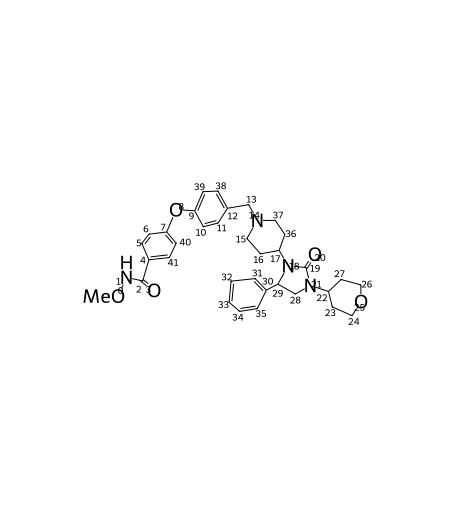 CONC(=O)c1ccc(Oc2ccc(CN3CCC(N4C(=O)N(C5CCOCC5)CC4c4ccccc4)CC3)cc2)cc1